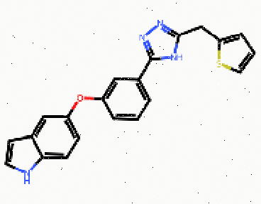 c1cc(Oc2ccc3[nH]ccc3c2)cc(-c2nnc(Cc3cccs3)[nH]2)c1